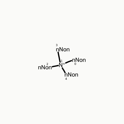 CCCCCCCCC[N+](CCCCCCCCC)(CCCCCCCCC)CCCCCCCCC